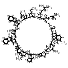 CCCC[C@H]1C(=O)N(C)[C@@H](CCCC)C(=O)N[C@@H](CCCNC(=N)N)C(=O)N[C@H](C(=O)NCC(N)=O)CSCC(=O)N[C@@H](Cc2ccc(C)cc2)C(=O)N(C)[C@@H](C)C(=O)N[C@@H](CC(N)=O)C(=O)N2CCC[C@H]2C(=O)N[C@@H](Cc2cnc[nH]2)C(=O)N[C@@H](CC(C)C)C(=O)N2CCC[C@H]2C(=O)N[C@@H](Cc2c[nH]c3ccccc23)C(=O)N[C@@H](CO)C(=O)N[C@@H](Cc2csc3ccccc23)C(=O)N1C